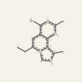 CCc1cc2c(Br)nc(C)nc2c2c(C)ncn12